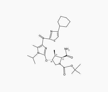 C=C(c1nc(C2CCCCC2)cs1)c1nc(O[C@H]2CN(C(=O)OC(C)(C)C)[C@H](C(N)=O)[C@@H]2C)n(C(C)C)c1C